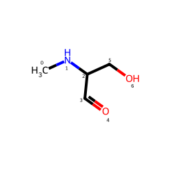 CNC(C=O)CO